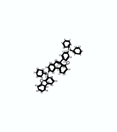 c1ccc(N(c2ccccc2)c2ccc3c(c2)Oc2cccc4c2c-3cc2ccc(N(c3ccccc3)c3cccc5c3oc3ccccc35)cc24)cc1